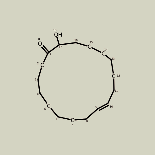 O=C1CCCCCCC/C=C/CCCCCCC1O